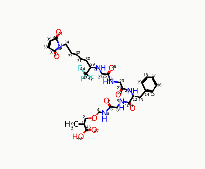 CC(COCNC(=O)CNC(=O)[C@H](Cc1ccccc1)NC(=O)CNC(=O)CNC(CCCCCN1C(=O)C=CC1=O)C(F)(F)F)C(=O)O